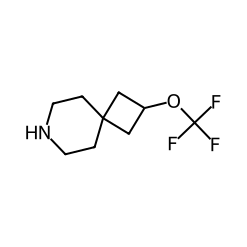 FC(F)(F)OC1CC2(CCNCC2)C1